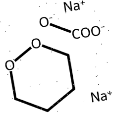 C1CCOOC1.O=C([O-])[O-].[Na+].[Na+]